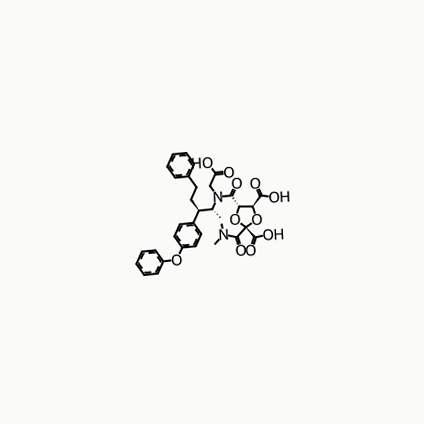 C[C@H]([C@H](CCc1ccccc1)c1ccc(Oc2ccccc2)cc1)N(CC(=O)O)C(=O)[C@H]1O[C@@](C(=O)O)(C(=O)N(C)C)O[C@@H]1C(=O)O